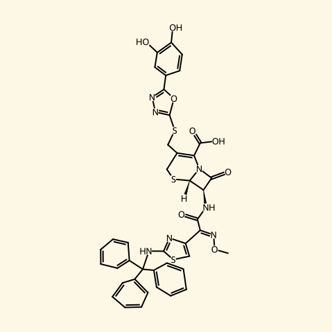 CON=C(C(=O)N[C@@H]1C(=O)N2C(C(=O)O)=C(CSc3nnc(-c4ccc(O)c(O)c4)o3)CS[C@@H]12)c1csc(NC(c2ccccc2)(c2ccccc2)c2ccccc2)n1